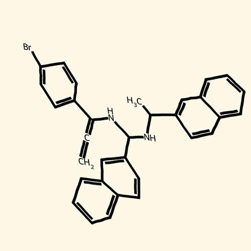 C=C=C(NC(NC(C)c1ccc2ccccc2c1)c1ccc2ccccc2c1)c1ccc(Br)cc1